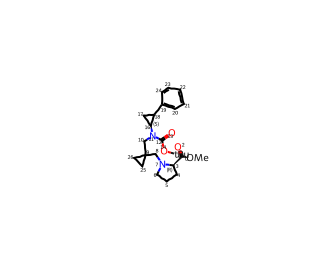 COC(=O)[C@H]1CCCN1CC1(CN(C(=O)OC(C)(C)C)[C@H]2CC2c2ccccc2)CC1